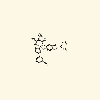 CC(C)n1cc2cc([C@@H]3C(=O)N(C)C(=N)N[C@]3(C)c3cc(-c4cccc(C#N)c4)cs3)ccc2n1